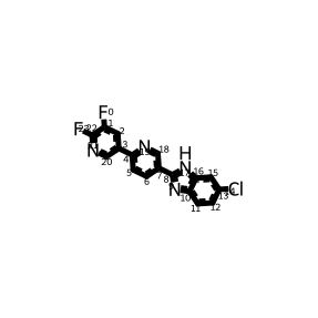 Fc1cc(-c2ccc(-c3nc4ccc(Cl)cc4[nH]3)cn2)cnc1F